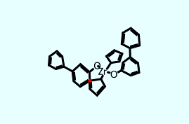 C1=C[CH]([Zr]([O]c2cccc(-c3ccccc3)c2)([O]c2cccc(-c3ccccc3)c2)[CH]2C=CC=C2)C=C1